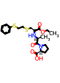 CCOC(=O)[C@H](CSCCSc1ccccc1)N[C@@H](C)C(=O)N1CCC[C@H]1C(=O)O